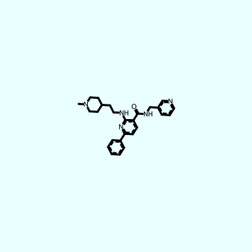 CN1CCC(CCNc2nc(-c3ccccc3)ccc2C(=O)NCc2cccnc2)CC1